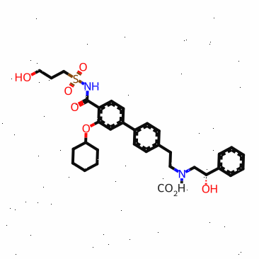 O=C(NS(=O)(=O)CCCO)c1ccc(-c2ccc(CCN(C[C@@H](O)c3ccccc3)C(=O)O)cc2)cc1OC1CCCCC1